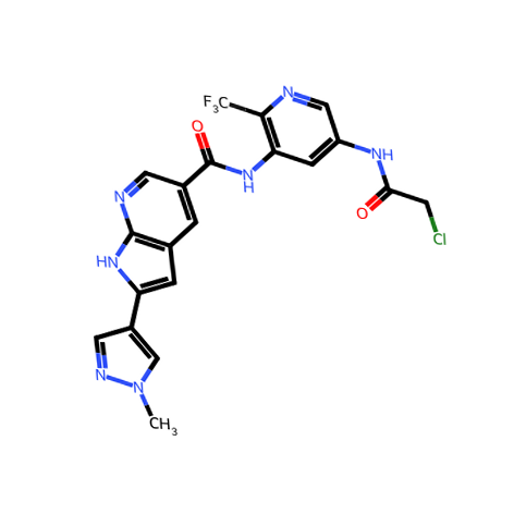 Cn1cc(-c2cc3cc(C(=O)Nc4cc(NC(=O)CCl)cnc4C(F)(F)F)cnc3[nH]2)cn1